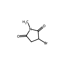 CN1C(=O)CC(Br)C1=O